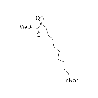 CCCCCCCCCCCCCCCCCCC1(C(=O)OC)CO1